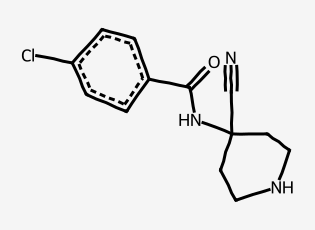 N#CC1(NC(=O)c2ccc(Cl)cc2)CCNCC1